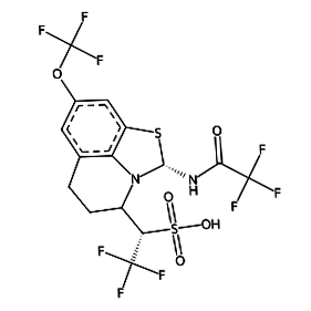 O=C(N[C@H]1Sc2cc(OC(F)(F)F)cc3c2N1C([C@@H](C(F)(F)F)S(=O)(=O)O)CC3)C(F)(F)F